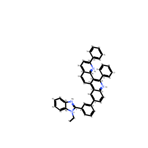 CCn1c(-c2cccc(-c3ccc4nc(-c5ccccc5)c5c(ccc6ccc(-c7ccccc7)nc65)c4c3)c2)nc2ccccc21